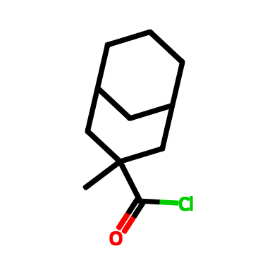 CC1(C(=O)Cl)CC2CCCC(C2)C1